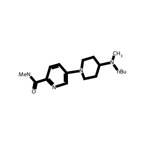 CCCCN(C)C1CCN(c2ccc(C(=O)NC)nc2)CC1